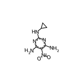 Nc1nc(NC2CC2)nc(N)c1[N+](=O)[O-]